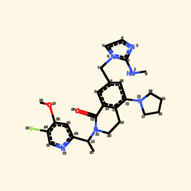 CNc1nccn1Cc1cc2c(c(N3CCCC3)c1)CCN(C(C)c1cc(OC)c(F)cn1)C2=O